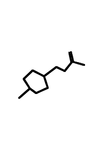 C=C(C)CCC1CCC(C)CC1